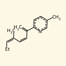 C=C(/C=C\C(C)=C/CC)c1ccc(C)cn1